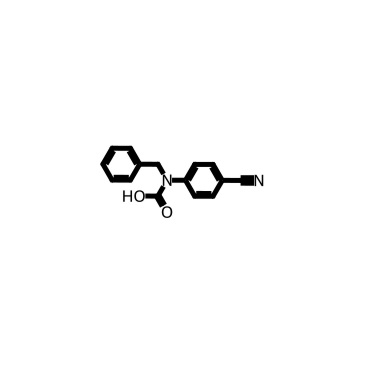 N#Cc1ccc(N(Cc2ccccc2)C(=O)O)cc1